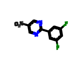 O=[N+]([O-])c1cnc(-c2cc(F)cc(F)c2)nc1